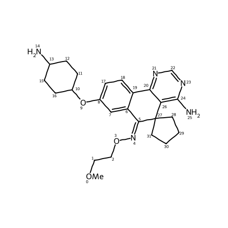 COCCO/N=C1\c2cc(OC3CCC(N)CC3)ccc2-c2ncnc(N)c2C12CCCC2